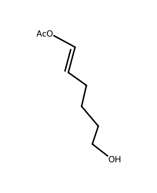 CC(=O)OC=CCCCCO